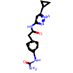 NC(=O)Nc1ccc(CC(=O)Nc2cc(C3CC3)[nH]n2)cc1